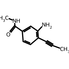 CC#Cc1ccc(C(=O)NC)cc1N